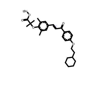 Cc1cc(/C=C/C(=O)c2ccc(OCCC3CCCCC3)cc2)cc(C)c1OC(C)(C)C(=O)OC(C)(C)C